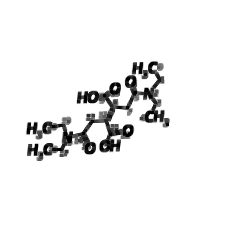 CCN(CC)C(=O)CC(C(=O)O)=C(CC(=O)N(CC)CC)C(=O)O